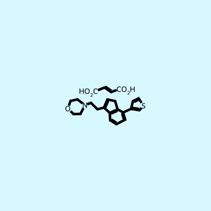 C1=C(CCN2CCOCC2)c2cccc(-c3ccsc3)c2C1.O=C(O)C=CC(=O)O